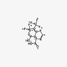 O=C(O)C1=C(C(=O)O)C(=C(C(F)(F)F)C(F)(F)F)CC=C1